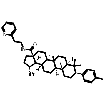 Cc1ccc([C@H]2CC[C@]3(C)[C@H]4CC[C@@H]5[C@H]6[C@H](C(C)C)CC[C@]6(C(=O)NCCc6ccccn6)CC[C@@]5(C)[C@]4(C)CC[C@H]3C2(C)C)cc1